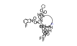 O=C(N[C@H]1CCCCC/C=C\[C@@H]2C[C@@]2(C(=O)NS(=O)(=O)N2CC(F)(F)C2)NC(=O)C2C[C@@H](OC(=O)N3Cc4cccc(F)c4C3)CN2C1=O)OC1CCCC1